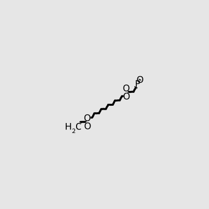 C=CC(=O)OCCCCCCCCCCOC(=O)CC#P=O